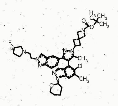 Cc1cc2c(cnn2C2CCCCO2)c(-c2c(-c3ccc4nn(CCN5CC[C@H](F)C5)cc4c3)nn(C3CC4(C3)CN(C(=O)OC(C)(C)C)C4)c2C)c1Cl